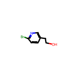 OCCc1ccc(Br)nc1